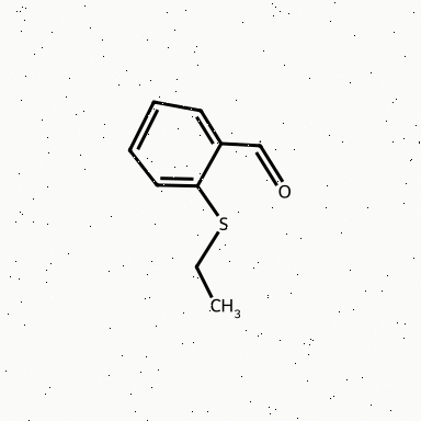 CCSc1ccccc1[C]=O